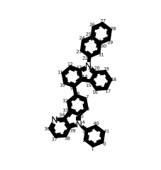 c1ccc(-n2c3ccc(-c4cccc5c4c4ccccc4n5-c4ccc5ccccc5c4)cc3c3ncccc32)cc1